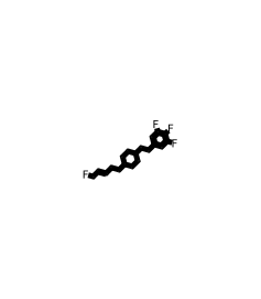 FC/C=C/CCC1CCC(CCc2cc(F)c(F)c(F)c2)CC1